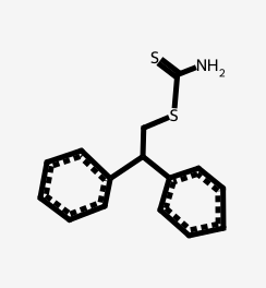 NC(=S)SCC(c1ccccc1)c1ccccc1